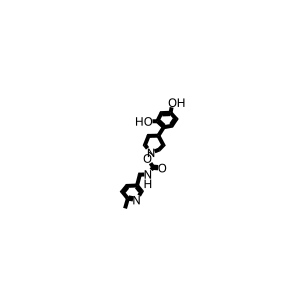 Cc1ccc(CNC(=O)ON2CCC(c3ccc(O)cc3O)CC2)cn1